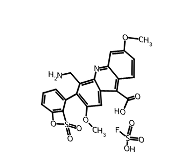 COc1ccc2c(C(=O)O)c3cc(OC)c(-c4cccc5c4S(=O)(=O)O5)c(CN)c3nc2c1.O=S(=O)(O)F